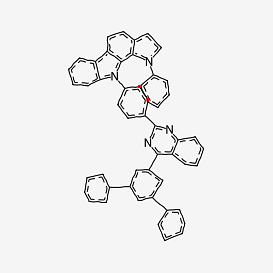 c1ccc(-c2cc(-c3ccccc3)cc(-c3nc(-c4ccc(-n5c6ccccc6c6ccc7ccn(-c8ccccc8)c7c65)cc4)nc4ccccc34)c2)cc1